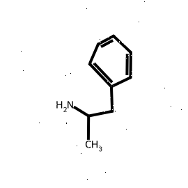 CC(N)[CH]c1ccccc1